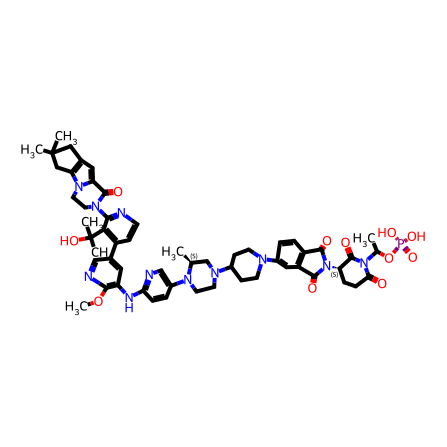 COc1ncc(-c2ccnc(N3CCn4c(cc5c4CC(C)(C)C5)C3=O)c2C(C)(C)O)cc1Nc1ccc(N2CCN(C3CCN(c4ccc5c(c4)C(=O)N([C@H]4CCC(=O)N(C(C)OP(=O)(O)O)C4=O)C5=O)CC3)C[C@@H]2C)cn1